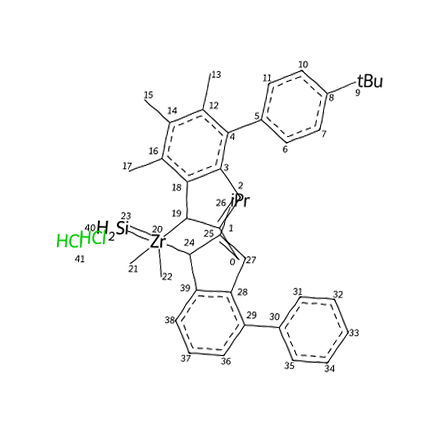 CC1=Cc2c(-c3ccc(C(C)(C)C)cc3)c(C)c(C)c(C)c2[CH]1[Zr]([CH3])([CH3])(=[SiH2])[CH]1C(C(C)C)=Cc2c(-c3ccccc3)cccc21.Cl.Cl